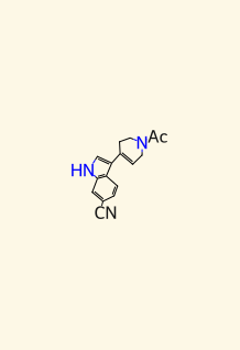 CC(=O)N1CC=C(c2c[nH]c3cc(C#N)ccc23)CC1